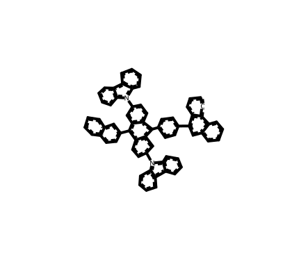 c1ccc2cc(-c3c4ccc(-n5c6ccccc6c6ccccc65)cc4c(-c4ccc(-c5cc6ccccc6c6ccccc56)cc4)c4ccc(-n5c6ccccc6c6ccccc65)cc34)ccc2c1